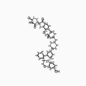 O=C1CCC(N2Cc3c(ccc4c3OC[C@H]3CN(CC5CCN(c6ccc([C@@H]7c8ccc(O)cc8OC[C@@H]7c7ccccc7)cc6)CC5)CCN43)C2=O)C(=O)N1